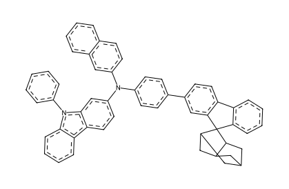 c1ccc(-n2c3ccccc3c3ccc(N(c4ccc(-c5ccc6c(c5)C5(c7ccccc7-6)C6CC7CC(C6)C5C7)cc4)c4ccc5ccccc5c4)cc32)cc1